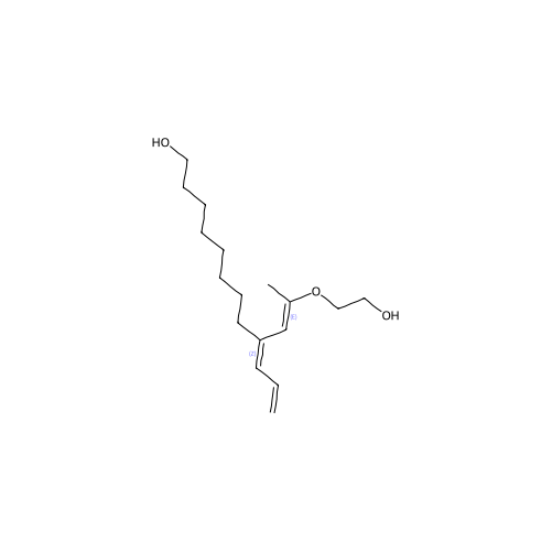 C=C/C=C(\C=C(/C)OCCO)CCCCCCCCO